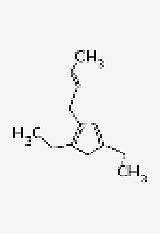 CC=CCC1=C(CC)CC(CC)=C1